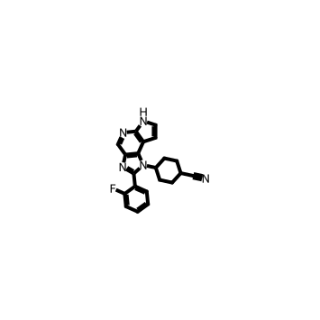 N#CC1CCC(n2c(-c3ccccc3F)nc3cnc4[nH]ccc4c32)CC1